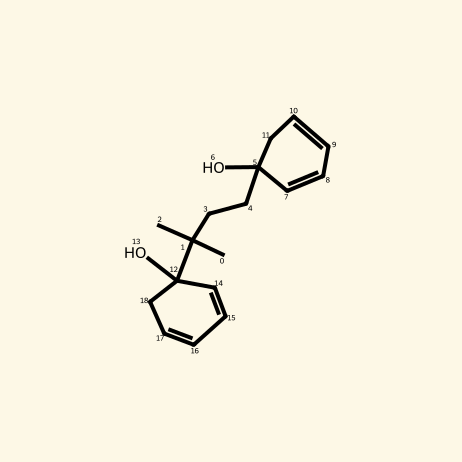 CC(C)(CCC1(O)C=CC=CC1)C1(O)C=CC=CC1